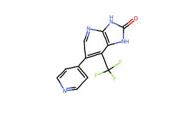 O=c1[nH]c2ncc(-c3ccncc3)c(C(F)(F)F)c2[nH]1